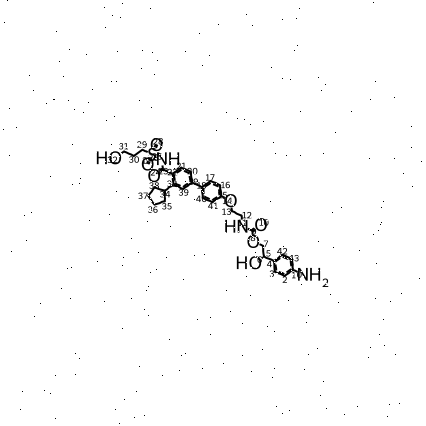 Nc1ccc([C@@H](O)COC(=O)NCCOc2ccc(-c3ccc(C(=O)NS(=O)(=O)CCCO)c(C4CCCC4)c3)cc2)cc1